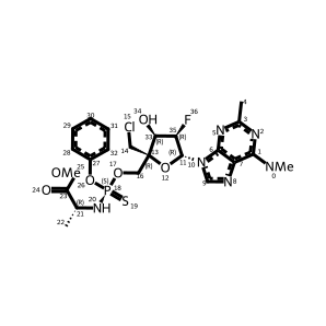 CNc1nc(C)nc2c1ncn2[C@@H]1O[C@](CCl)(CO[P@@](=S)(N[C@H](C)C(=O)OC)Oc2ccccc2)[C@@H](O)[C@H]1F